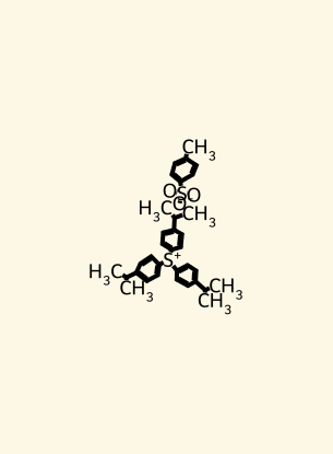 CC(C)c1ccc([S+](c2ccc(C(C)C)cc2)c2ccc(C(C)C)cc2)cc1.Cc1ccc(S(=O)(=O)[O-])cc1